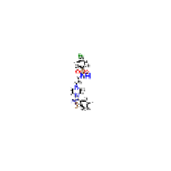 O=S(=O)(NCCCN1CCN(c2nsc3ccccc23)CC1)c1ccc(Br)cc1